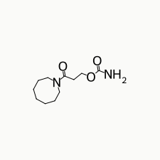 NC(=O)OCCC(=O)N1CCCCCCC1